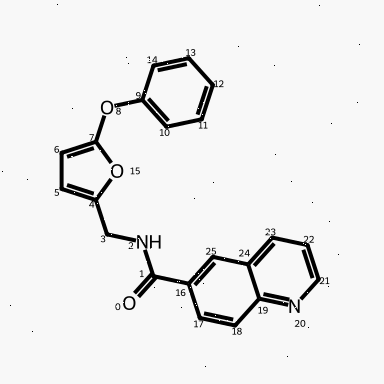 O=C(NCc1ccc(Oc2ccccc2)o1)c1ccc2ncccc2c1